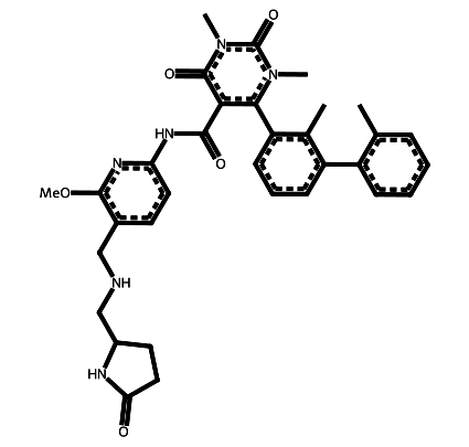 COc1nc(NC(=O)c2c(-c3cccc(-c4ccccc4C)c3C)n(C)c(=O)n(C)c2=O)ccc1CNCC1CCC(=O)N1